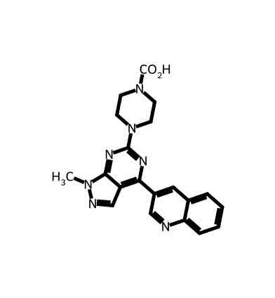 Cn1ncc2c(-c3cnc4ccccc4c3)nc(N3CCN(C(=O)O)CC3)nc21